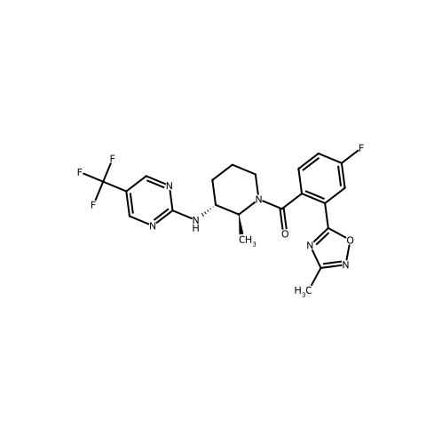 Cc1noc(-c2cc(F)ccc2C(=O)N2CCC[C@@H](Nc3ncc(C(F)(F)F)cn3)[C@@H]2C)n1